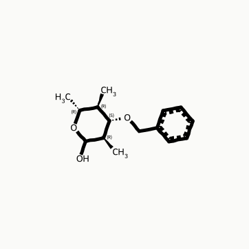 C[C@H]1[C@H](OCc2ccccc2)[C@@H](C)C(O)O[C@@H]1C